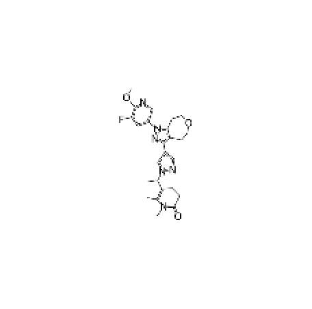 COc1ncc(-n2nc(-c3cnn(C(C)C4=C(C)N(C)C(=O)CC4)c3)c3c2CCOCC3)cc1F